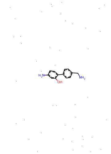 NCc1ccc(-c2ccc(N)cc2O)cc1